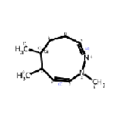 CC1/C=C\N(C)/N=C\CC[C@@H]1C